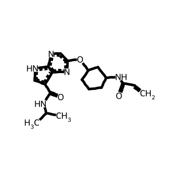 C=CC(=O)NC1CCCC(Oc2cnc3[nH]cc(C(=O)NC(C)C)c3n2)C1